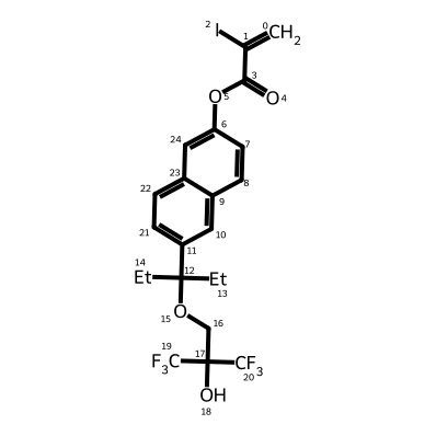 C=C(I)C(=O)Oc1ccc2cc(C(CC)(CC)OCC(O)(C(F)(F)F)C(F)(F)F)ccc2c1